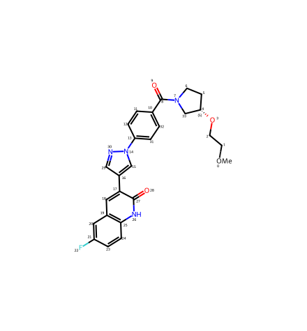 COCCO[C@H]1CCN(C(=O)c2ccc(-n3cc(-c4cc5cc(F)ccc5[nH]c4=O)cn3)cc2)C1